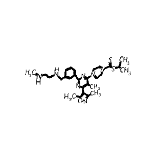 CNCCNCc1cccc(-c2nc(-c3c(C)noc3C)c(C)c(N3CCN(C(=S)SC(C)C)CC3)n2)c1